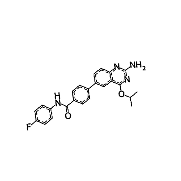 CC(C)Oc1nc(N)nc2ccc(-c3ccc(C(=O)Nc4ccc(F)cc4)cc3)cc12